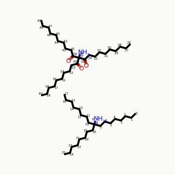 CCCCCCCCC(N)(CCCCCCCC)CCCCCCCC.CCCCCCCCCC(=O)C(N)(C(=O)CCCCCCCCC)C(=O)CCCCCCCCC